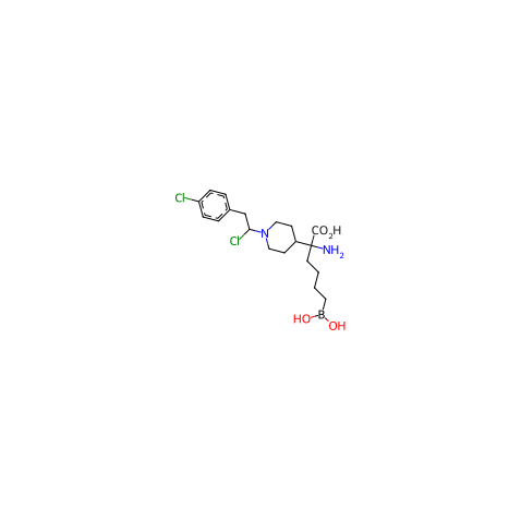 NC(CCCCB(O)O)(C(=O)O)C1CCN(C(Cl)Cc2ccc(Cl)cc2)CC1